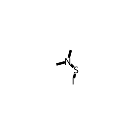 CN(C)SI